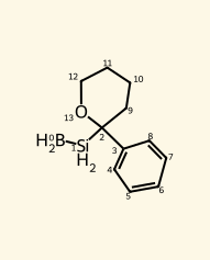 B[SiH2]C1(c2ccccc2)CCCCO1